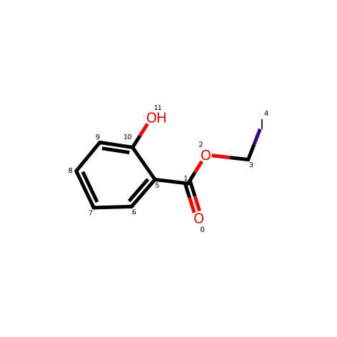 O=C(OCI)c1ccccc1O